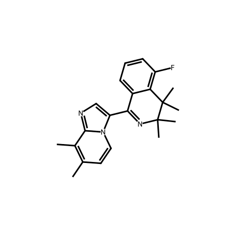 Cc1ccn2c(C3=NC(C)(C)C(C)(C)c4c(F)cccc43)cnc2c1C